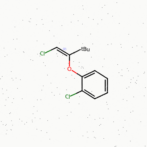 CC(C)(C)/C(=C/Cl)Oc1ccccc1Cl